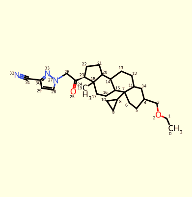 CCOCC1CCC2(C3CC3)C(CCC3C2CCC2(C)C3CC[C@@H]2C(=O)Cn2ccc(C#N)n2)C1